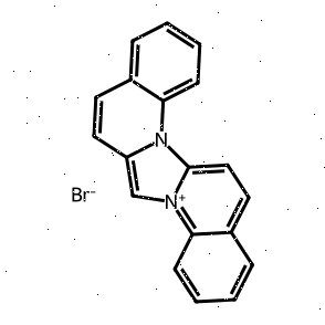 [Br-].c1ccc2c(c1)ccc1c[n+]3c4ccccc4ccc3n12